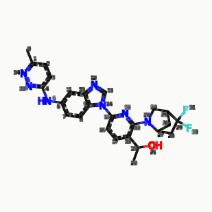 Cc1ccc(Nc2ccc3c(c2)ncn3-c2ccc(C(C)O)c(N3CC4CC3CC4(F)F)n2)nn1